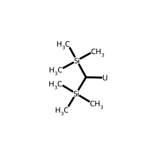 C[Si](C)(C)[CH]([U])[Si](C)(C)C